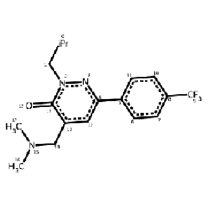 CC(C)Cn1nc(-c2ccc(C(F)(F)F)cc2)cc(CN(C)C)c1=O